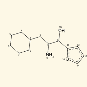 NC(CC1CCCCC1)C(O)c1ccco1